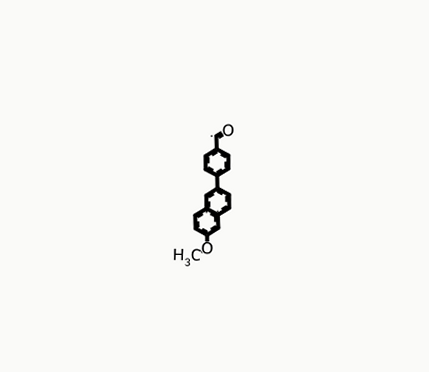 COc1ccc2cc(-c3ccc([C]=O)cc3)ccc2c1